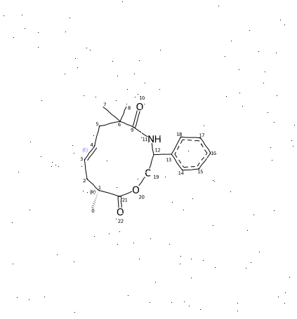 C[C@@H]1C/C=C/CC(C)(C)C(=O)NC(c2ccccc2)COC1=O